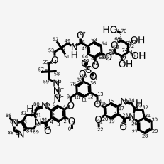 COc1cc2c(cc1OCc1cc(COc3cc4c(cc3OC)C(=O)N3c5ccccc5C[C@H]3C=N4)cc(OS(=O)(=O)Oc3cc(C(=O)NCC(C)(C)COCC(C)(C)CN=[N+]=[N-])ccc3O[C@@H]3O[C@H](CO)[C@H](O)[C@H](O)[C@H]3O)c1)N=C[C@@H]1Cc3c(ncn3C)CN1C2=O